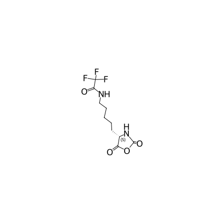 O=C1N[C@@H](CCCCCNC(=O)C(F)(F)F)C(=O)O1